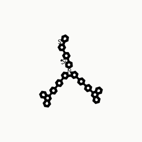 C[Si]1(C)c2cc(-c3ccc4sc5ccccc5c4c3)ccc2-c2ccc(-n3c4ccc(-c5ccc(-c6ccc(-c7cc8ccccc8c8ccccc78)cc6)cc5)cc4c4cc(-c5ccc(-c6ccc(-c7cc8ccccc8c8ccccc78)cc6)cc5)ccc43)cc21